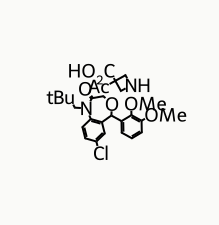 CC(=O)C1(C(=O)O)CNC1.COc1cccc(C2OCC(=O)N(CC(C)(C)C)c3ccc(Cl)cc32)c1OC